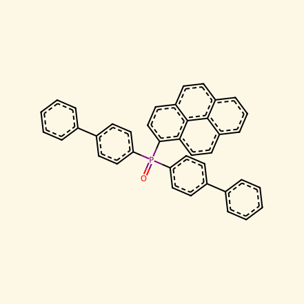 O=P(c1ccc(-c2ccccc2)cc1)(c1ccc(-c2ccccc2)cc1)c1ccc2ccc3cccc4ccc1c2c34